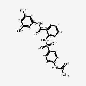 CC(=O)Nc1ccc(S(=O)(=O)Nc2ccccc2C(=O)Nc2cc(Cl)cc(Cl)c2)cc1